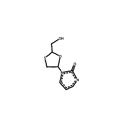 O=c1ncccn1C1CSC(CO)O1